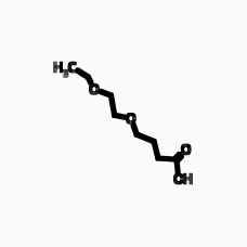 CCOCCOCCCC(=O)O